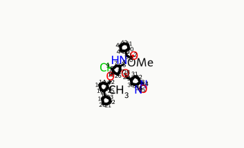 COC(=O)[C@@H](NCc1cc(Cl)c(OCc2cccc(-c3ccccc3)c2C)cc1OCc1ccc2nonc2c1)c1ccccc1